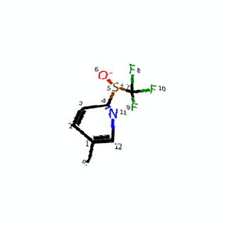 [CH2]c1ccc([S+]([O-])C(F)(F)F)nc1